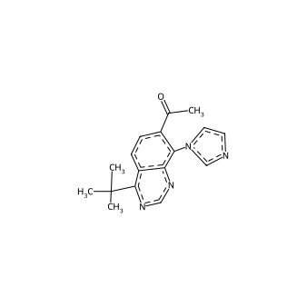 CC(=O)c1ccc2c(C(C)(C)C)ncnc2c1-n1ccnc1